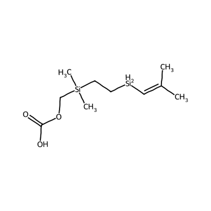 CC(C)=C[SiH2]CC[Si](C)(C)COC(=O)O